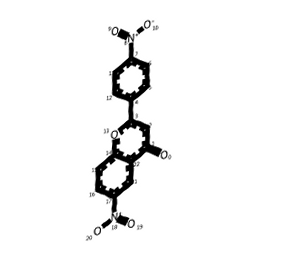 O=c1cc(-c2ccc([N+](=O)[O-])cc2)oc2ccc([N+](=O)[O-])cc12